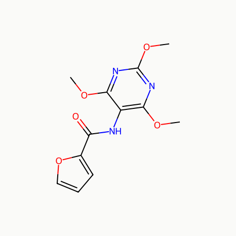 COc1nc(OC)c(NC(=O)c2ccco2)c(OC)n1